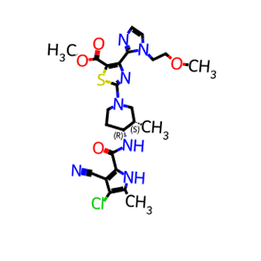 COCCn1ccnc1-c1nc(N2CC[C@@H](NC(=O)c3[nH]c(C)c(Cl)c3C#N)[C@@H](C)C2)sc1C(=O)OC